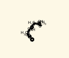 CC(C=C[C@@H]1C[C@]2(CO2)CC(C)(C)O1)=CCC1CCC(NC(=O)C=CC(C)OC(=O)N2CCN(C3CCCCCC3)CC2)CC1